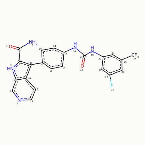 NC(=O)c1[nH]c2cnccc2c1-c1ccc(NC(=O)Nc2cc(F)cc(C(F)(F)F)c2)cc1